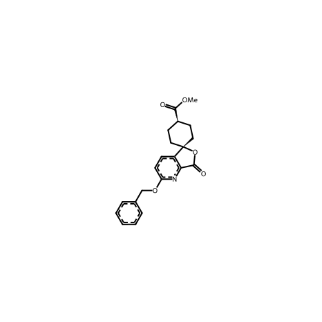 COC(=O)[C@H]1CC[C@@]2(CC1)OC(=O)c1nc(OCc3ccccc3)ccc12